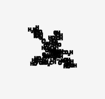 CSC[C@@H](NC(=O)[C@H](CCC(=O)NC[C@H](O)[C@@H](O)[C@H](O)[C@H](O)CO)NC(=O)[C@@H](CCC(=O)O)NC(=O)[C@H](CCC(=O)NC[C@H](O)[C@@H](O)[C@H](O)[C@H](O)CO)NC(=O)[C@@H](CCC(=O)O)NC(=O)[C@H](CCC(=O)NC[C@H](O)[C@@H](O)[C@H](O)[C@H](O)CO)NC(=O)CC[C@@H](C)NC(=O)c1ccc(NCc2cnc3nc(N)[nH]c(=O)c3n2)cc1)C(=O)O